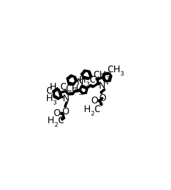 C=CC(=O)OCCN1/C(=C/C=C2\CCC(/C=C/C3=[N+](CCOC(=O)C=C)c4ccc(C)cc4C3(C)C)=C2N(c2ccccc2)c2ccccc2)C(C)(C)c2cc(C)ccc21